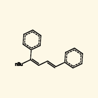 CCCCC(=CC=Cc1ccccc1)c1ccccc1